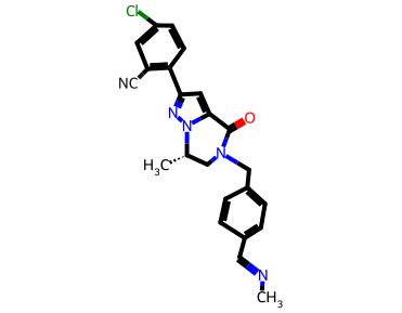 C/N=C/c1ccc(CN2C[C@H](C)n3nc(-c4ccc(Cl)cc4C#N)cc3C2=O)cc1